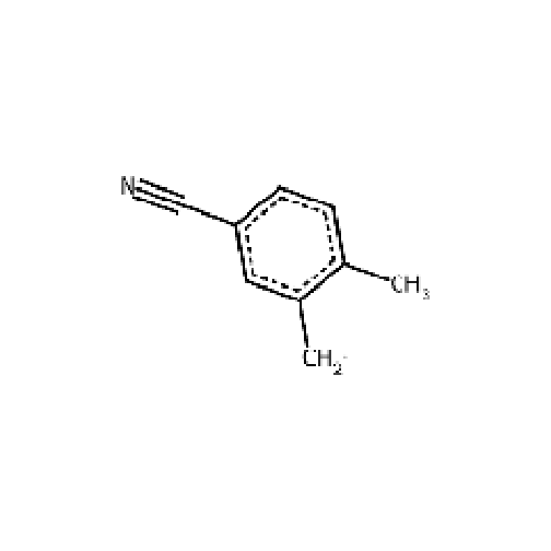 [CH2]c1cc(C#N)ccc1C